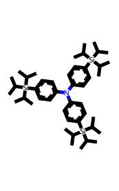 CC(C)[Si](c1ccc(N(c2ccc([Si](C(C)C)(C(C)C)C(C)C)cc2)c2ccc([Si](C(C)C)(C(C)C)C(C)C)cc2)cc1)(C(C)C)C(C)C